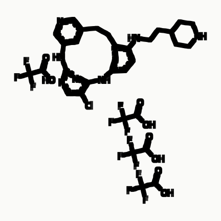 Clc1cnc2nc1Nc1ccc(NCCC3CCNCC3)c(c1)CCc1cncc(c1)N2.O=C(O)C(F)(F)F.O=C(O)C(F)(F)F.O=C(O)C(F)(F)F.O=C(O)C(F)(F)F